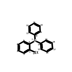 CCc1ccccc1N(c1ccccc1)c1ccccc1